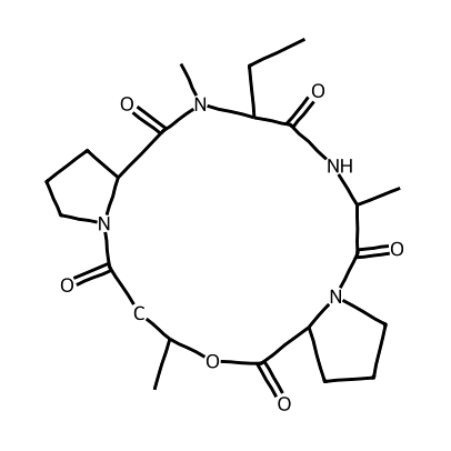 CCC1C(=O)NC(C)C(=O)N2CCCC2C(=O)OC(C)CC(=O)N2CCCC2C(=O)N1C